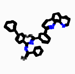 C=C(/N=C(\N=C(/C)c1cccc(-c2ccc3ccc4c(c3n2)N=CCC4)c1)c1ccc(-c2ccccc2)cc1)c1ccccc1